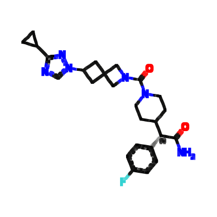 NC(=O)[C@H](c1ccc(F)cc1)C1CCN(C(=O)N2CC3(CC(n4cnc(C5CC5)n4)C3)C2)CC1